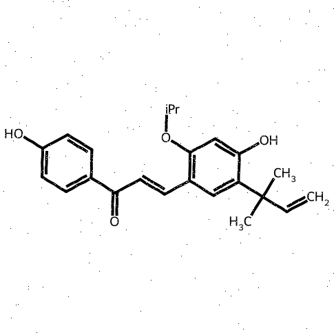 C=CC(C)(C)c1cc(/C=C/C(=O)c2ccc(O)cc2)c(OC(C)C)cc1O